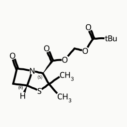 CC(C)(C)C(=O)OCOC(=O)[C@@H]1N2C(=O)C[C@H]2SC1(C)C